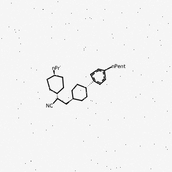 CCCCCc1ccc([C@H]2CC[C@H](CC(C#N)[C@H]3CC[C@H](CCC)CC3)CC2)cc1